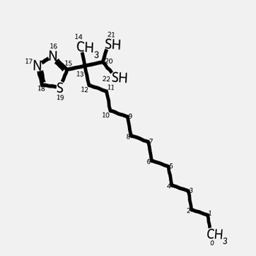 CCCCCCCCCCCCCC(C)(c1nncs1)C(S)S